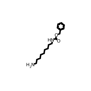 NCCCCCCCCCNC(=O)OCc1ccccc1